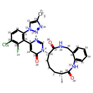 C[C@@H]1CCC[C@H](n2cnc(-c3c(-n4cc(C(F)(F)F)nn4)ccc(Cl)c3F)cc2=O)C(=O)NCc2ccccc2NC1=O